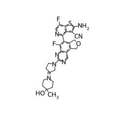 CC1(O)CCN([C@@H]2CCN(c3ncc4c5c(c(-c6ncc(F)c7sc(N)c(C#N)c67)c(F)c4n3)COC5)C2)CC1